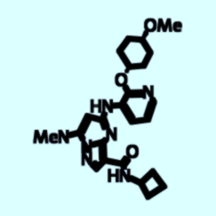 CNc1cc(Nc2cccnc2O[C@H]2CC[C@H](OC)CC2)nc2c(C(=O)NC3CCC3)cnn12